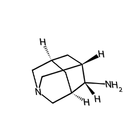 N[C@@H]1[C@@H]2C[C@@H]3C[C@H]1CN(C3)C2